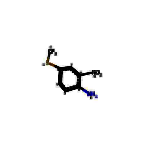 Nc1ccc(SC(F)(F)F)cc1[N+](=O)[O-]